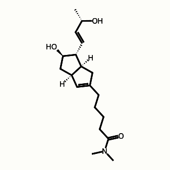 C[C@H](O)/C=C/[C@@H]1[C@H]2CC(CCCCC(=O)N(C)C)=C[C@H]2C[C@H]1O